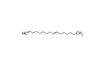 [CH]=CCCCCCCC=CCCCCCC